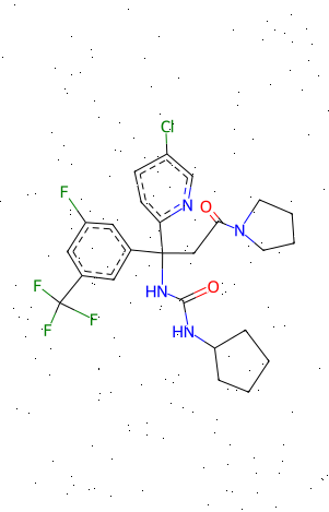 O=C(NC1CCCC1)NC(CC(=O)N1CCCC1)(c1cc(F)cc(C(F)(F)F)c1)c1ccc(Cl)cn1